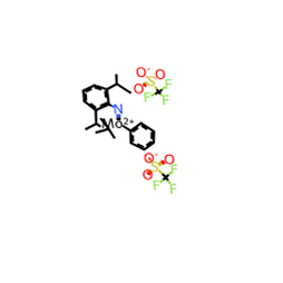 CC(C)c1cccc(C(C)C)c1[N]=[Mo+2]([c]1ccccc1)[C](C)(C)C.O=S(=O)([O-])C(F)(F)F.O=S(=O)([O-])C(F)(F)F